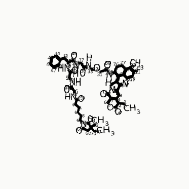 CCC1C(=O)OCc2c1cc1n(c2=O)Cc2c-1nc1cc(F)c(C)c3c1c2C(NC(=O)COCNC(=O)CNC(=O)C(Cc1ccccc1)NC(=O)CNC(=O)CNC(=O)CCCCCN1C(=O)CC(CC)(CC)C1=O)CC3